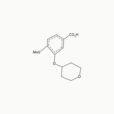 CSc1ccc(C(=O)O)cc1OC1CCOCC1